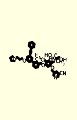 Cc1c(COc2cc(OCc3cncc(C#N)c3)c(CNC(C)(CO)C(=O)O)cc2Cl)cccc1-c1cc(C#Cc2ccccc2)cc(OCCCN2CCCC2)c1